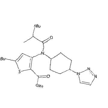 CCCCC(C)C(=O)N(c1cc(C(C)(C)C)sc1C(=O)OC)C1CCC(n2ccnn2)CC1